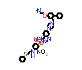 CN(C)CCOc1ccc(-c2ccccc2)c(CN2CCN(c3ccc4c(NS(=O)(=O)c5ccc(NCCSc6ccccc6)c([N+](=O)[O-])c5)ncnc4c3)CC2)c1